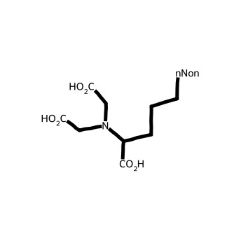 CCCCCCCCCCCCC(C(=O)O)N(CC(=O)O)CC(=O)O